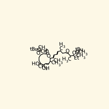 CCC(O[Si](C)(C)C(C)(C)C)C(C)C1OC1CC(C)/C=C/C=C(\C)C1OC(=O)CC(O[Si](C)(C)C(C)(C)C)CCC(C)(O)C(O)/C=C/C1C